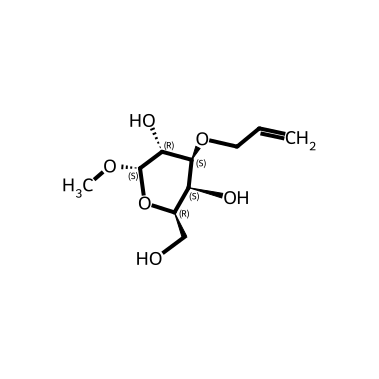 C=CCO[C@H]1[C@@H](O)[C@@H](CO)O[C@H](OC)[C@@H]1O